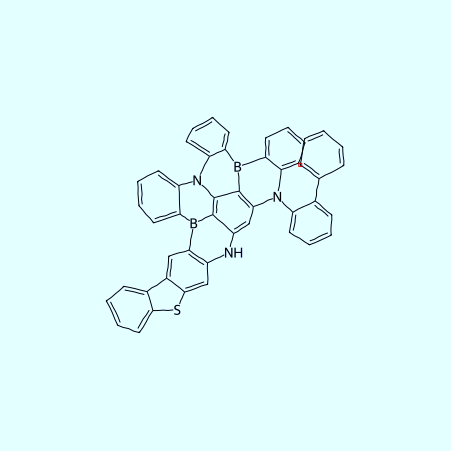 c1ccc(-c2ccccc2N2c3ccccc3B3c4ccccc4N4c5ccccc5B5c6cc7c(cc6Nc6cc2c3c4c65)sc2ccccc27)cc1